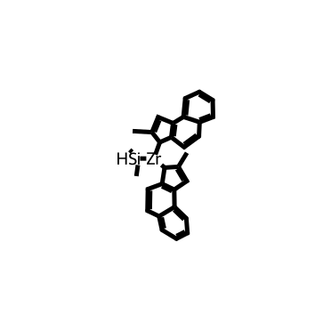 CC1=Cc2c(ccc3ccccc23)[CH]1[Zr]([CH]1C(C)=Cc2c1ccc1ccccc21)[SiH](C)C